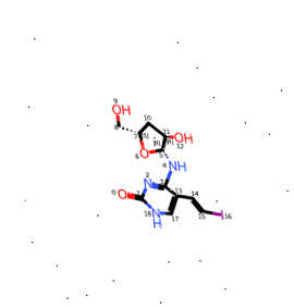 O=c1nc(N[C@@H]2O[C@H](CO)C[C@H]2O)c(C=CI)c[nH]1